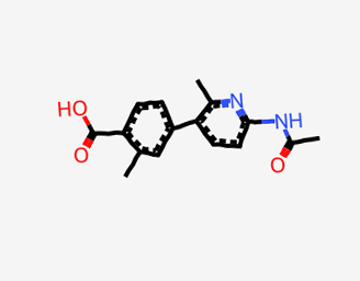 CC(=O)Nc1ccc(-c2ccc(C(=O)O)c(C)c2)c(C)n1